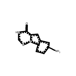 Nc1ccc2c(c1)cc1c(=O)[nH]cnn12